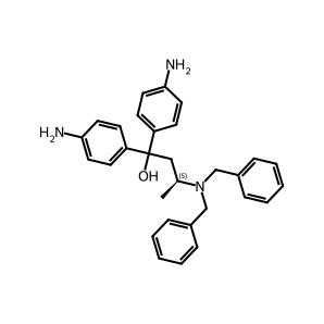 C[C@@H](CC(O)(c1ccc(N)cc1)c1ccc(N)cc1)N(Cc1ccccc1)Cc1ccccc1